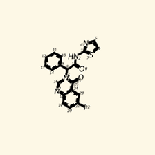 O=C(Nc1nccs1)C(c1ccccc1)n1cnc2ccc(I)cc2c1=O